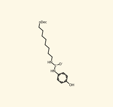 CCCCCCCCCCCCCCCCCCN[S+]([O-])Nc1ccc(O)cc1